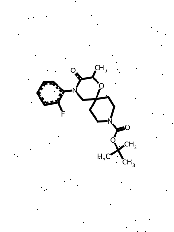 CC1OC2(CCN(C(=O)OC(C)(C)C)CC2)CN(c2ccccc2F)C1=O